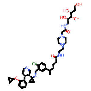 CC(CCCC(=O)NCCN1CCN(CC(=O)NC[C@H](O)[C@@H](O)[C@H](O)CCO)CC1)c1ccc(Cl)c(CNC2(c3cnccc3-c3ccccc3OC3CC3)CC2)c1